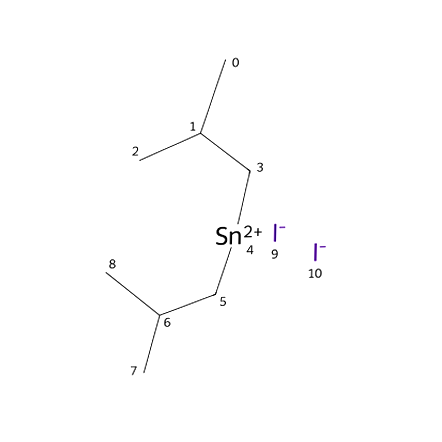 CC(C)[CH2][Sn+2][CH2]C(C)C.[I-].[I-]